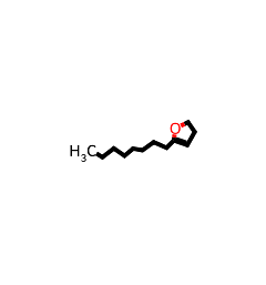 CCCCCCCCC1=CCCO1